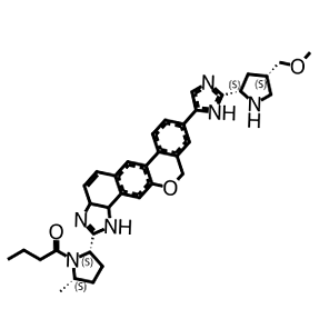 CCCC(=O)N1[C@@H](C)CC[C@H]1C1=NC2C=Cc3cc4c(cc3C2N1)OCc1cc(-c2cnc([C@@H]3C[C@H](COC)CN3)[nH]2)ccc1-4